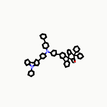 c1ccc(-c2ccc(N(c3ccc(-c4ccc5c(c4)-c4ccccc4C54c5ccccc5C(c5ccccc5)(c5ccccc5)c5ccccc54)cc3)c3ccc(-c4ccc5c(c4)c4ccccc4n5-c4ccccc4)cc3)cc2)cc1